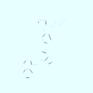 COCCN/C(=C/[N+](=O)[O-])Nc1ccc(NC(=O)c2sccc2NCc2ccnc3ccccc23)cc1